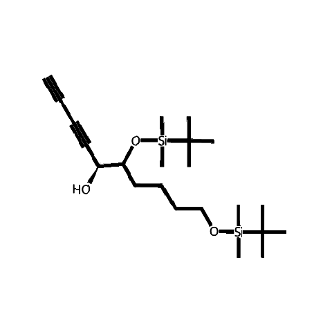 C#CC#C[C@H](O)C(CCCCO[Si](C)(C)C(C)(C)C)O[Si](C)(C)C(C)(C)C